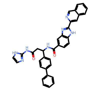 O=C(CC(NC(=O)c1ccc2[nH]c(-c3cc4ccccc4cn3)nc2c1)c1ccc(-c2ccccc2)cc1)Nc1ncc[nH]1